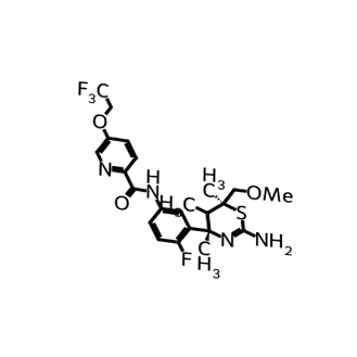 COC[C@@]1(C)SC(N)=N[C@](C)(c2cc(NC(=O)c3ccc(OCC(F)(F)F)cn3)ccc2F)C1C